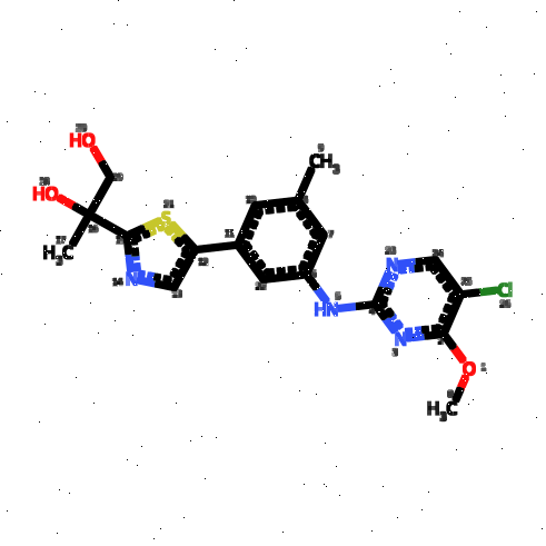 COc1nc(Nc2cc(C)cc(-c3cnc(C(C)(O)CO)s3)c2)ncc1Cl